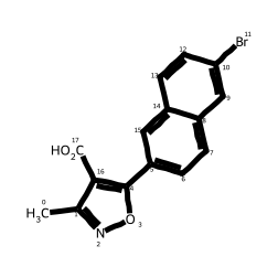 Cc1noc(-c2ccc3cc(Br)ccc3c2)c1C(=O)O